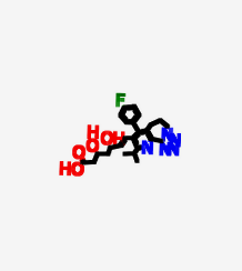 CC(C)c1nc2c(c(-c3ccc(F)cc3)c1/C=C/[C@@H](O)C[C@@H](O)CC(=O)O)CCCn1nnnc1-2